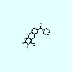 O=C(c1ccc2c(c1)Cc1c([nH]c(=S)[nH]c1=O)O2)N1CCOCC1